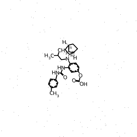 Cc1ccc(NC(=O)Nc2cc(OC(=O)O)ccc2N(CC(C)C)[C@@H]2C[C@H]3CC[C@@H]2C3)cc1